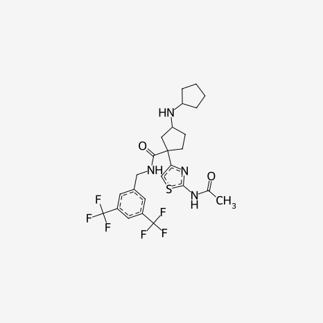 CC(=O)Nc1nc(C2(C(=O)NCc3cc(C(F)(F)F)cc(C(F)(F)F)c3)CCC(NC3CCCC3)C2)cs1